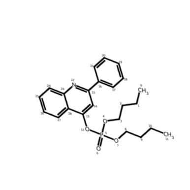 CCCCOP(=O)(OCCCC)Oc1cc(-c2ccccc2)nc2ccccc12